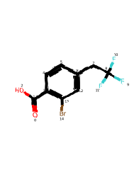 O=C(O)c1ccc(CC(F)(F)F)cc1Br